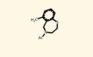 CC(=O)N1CCSc2cccc(C)c2C1